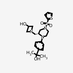 CC(C)(O)c1ccc(N2CCN(S(=O)(=O)c3cccs3)C[C@H]2CN2CC(O)C2)cc1